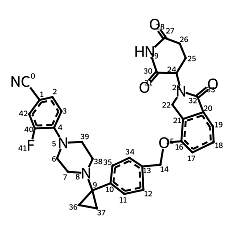 N#Cc1ccc(N2CCN(C3(c4ccc(COc5cccc6c5CN(C5CCC(=O)NC5=O)C6=O)cc4)CC3)CC2)c(F)c1